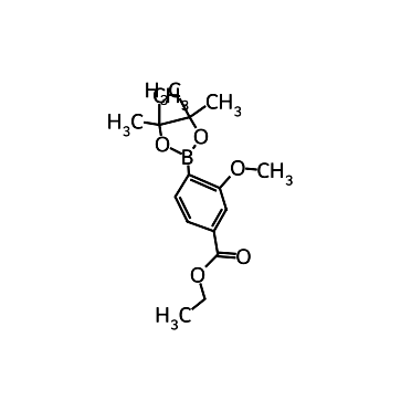 CCOC(=O)c1ccc(B2OC(C)(C)C(C)(C)O2)c(OC)c1